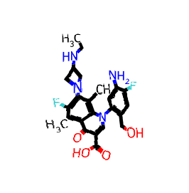 CCNC1CN(c2c(F)c(C)c3c(=O)c(C(=O)O)cn(-c4cc(N)c(F)cc4CO)c3c2C)C1